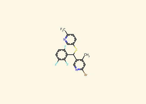 Cc1cc(Br)ncc1C(Sc1ccc(C(F)(F)F)nc1)c1c(F)ccc(F)c1F